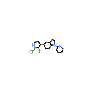 Clc1nccc(-c2ccc3c(ccn3-c3ccccn3)c2)c1Cl